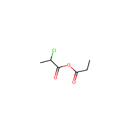 CCC(=O)OC(=O)C(C)Cl